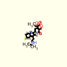 CC[C@@]1(O)C(=O)OCc2c1cc1n(c2=O)Cc2c-1nc1ccc(F)cc1c2CCNC(C)C